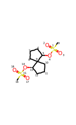 CS(=O)(=O)OC1CCCC12CCC[C@H]2OS(C)(=O)=O